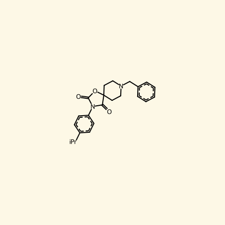 CC(C)c1ccc(N2C(=O)OC3(CCN(Cc4ccccc4)CC3)C2=O)cc1